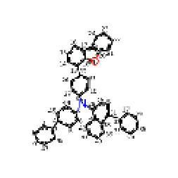 c1ccc(-c2ccc(N(c3ccc(-c4cccc5c4oc4ccccc45)cc3)c3ccc(-c4ccccc4)c4ccccc34)cc2)cc1